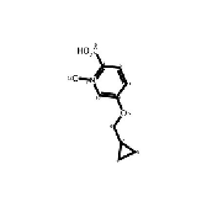 O=C(O)c1ccc(OCC2CC2)c[n+]1[O-]